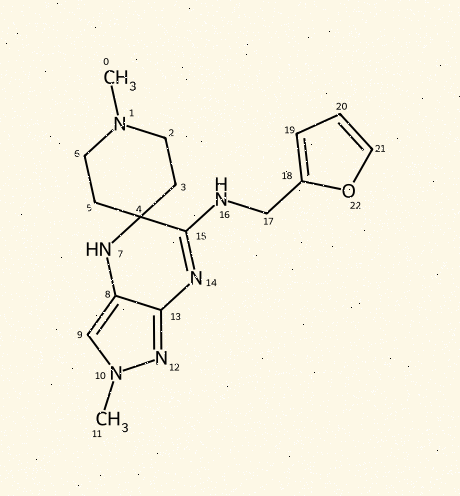 CN1CCC2(CC1)Nc1cn(C)nc1N=C2NCc1ccco1